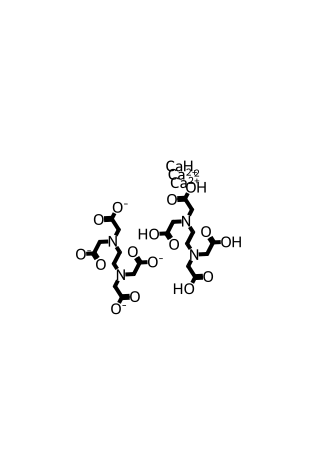 O=C(O)CN(CCN(CC(=O)O)CC(=O)O)CC(=O)O.O=C([O-])CN(CCN(CC(=O)[O-])CC(=O)[O-])CC(=O)[O-].[Ca+2].[Ca+2].[CaH2]